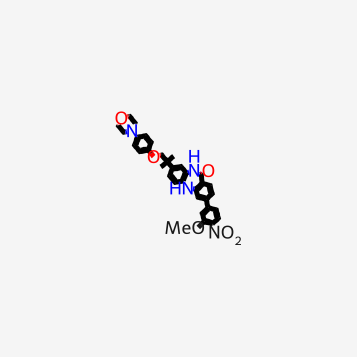 COc1cc(-c2ccc3c(c2)Nc2ccc(C(C)(C)COc4ccc(N5CCOCC5)cc4)cc2NC3=O)ccc1[N+](=O)[O-]